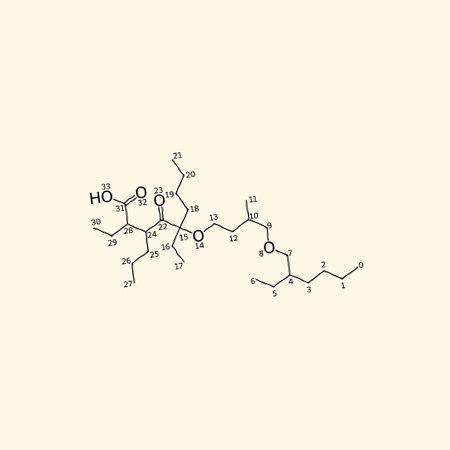 CCCCC(CC)COCC(C)CCOC(CC)(CCCC)C(=O)C(CCC)C(CC)C(=O)O